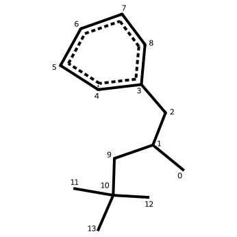 CC(Cc1[c]cccc1)CC(C)(C)C